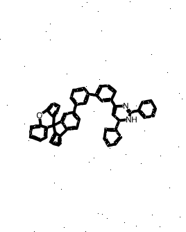 C1=C(c2cccc(-c3cccc(-c4ccc5c(c4)C4(c6ccccc6Oc6ccccc64)c4ccccc4-5)c3)c2)N=C(c2ccccc2)NC1c1ccccc1